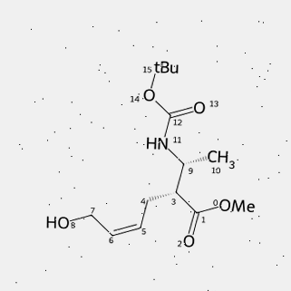 COC(=O)[C@H](C/C=C\CO)[C@@H](C)NC(=O)OC(C)(C)C